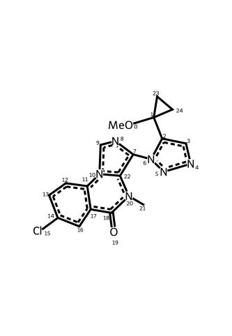 COC1(c2cnnn2-c2ncn3c4ccc(Cl)cc4c(=O)n(C)c23)CC1